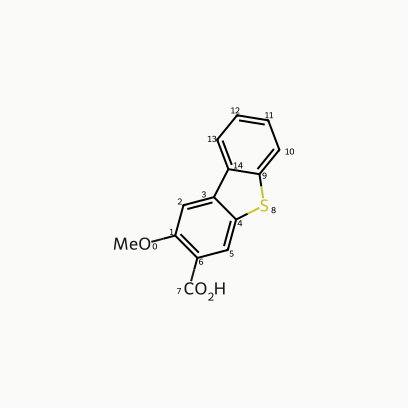 COc1cc2c(cc1C(=O)O)sc1ccccc12